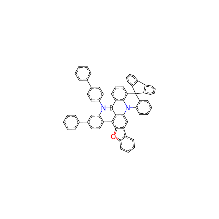 c1ccc(-c2ccc(N3B4c5cccc6c5N(c5ccccc5C65c6ccccc6-c6ccccc65)c5cc6c(oc7ccccc76)c(c54)-c4ccc(-c5ccccc5)cc43)cc2)cc1